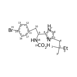 CCC(C)(C)Cc1c[nH]c(C(Cc2ccc(Br)cc2)NC(=O)O)n1